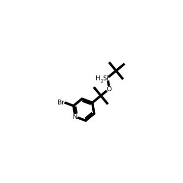 CC(C)(C)[SiH2]OC(C)(C)c1ccnc(Br)c1